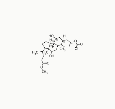 COC(=O)CCC(C)C1CC[C@H]2[C@H]3C(CC(O)C12C)C1(C)CC[C@@H](OC(=O)Cl)C[C@@H]1C[C@@H]3O